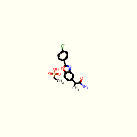 CC(C(N)=O)c1ccc2oc(-c3ccc(Cl)cc3)nc2c1.CCS(=O)(=O)O